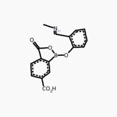 C/N=C/c1ccccc1OB1OC(=O)c2ccc(C(=O)O)cc21